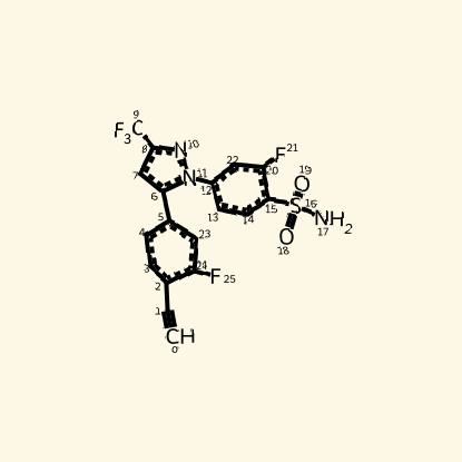 C#Cc1ccc(-c2cc(C(F)(F)F)nn2-c2ccc(S(N)(=O)=O)c(F)c2)cc1F